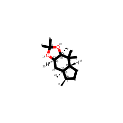 C[C@@H]1CC[C@H]2C(C)(C)[C@]3(C)OC(C)(C)O[C@@H]3C[C@]12C